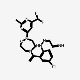 C=C(c1cc(Cl)ccc1N/N=C\C=N)N1CCON(c2cc(C(F)F)nc(C)n2)CC1